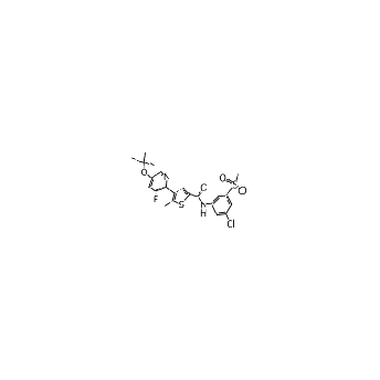 Cc1sc(C(=O)Nc2cc(Cl)cc(S(C)(=O)=O)c2)cc1-c1ncc(OC(C)(C)C)cc1F